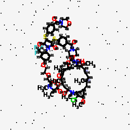 COc1cc2cc(c1Cl)N(C)C(=O)C[C@H](OC(=O)[C@H](C)N(C)C(=O)COCCOc1ccc(N3C(=O)C(Sc4ccc(C(=O)N5CCOCC5)cc4)=C(Sc4ccc(C(=O)N5CCOCC5)cc4)C3=O)c(C(F)(F)F)c1)[C@]1(C)O[C@H]1[C@H](C)[C@@H]1C[C@@](O)(NC(=O)O1)[C@H](OC)/C=C/C=C(\C)C2